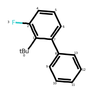 CC(C)(C)c1c(F)cccc1-c1ccccc1